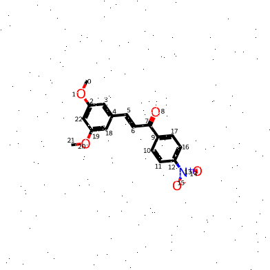 COc1cc(C=CC(=O)c2ccc([N+](=O)[O-])cc2)cc(OC)c1